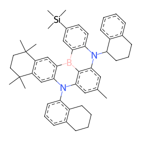 Cc1cc2c3c(c1)N(C1CCCc4ccccc41)c1ccc([Si](C)(C)C)cc1B3c1cc3c(cc1N2c1cccc2c1CCCC2)C(C)(C)CCC3(C)C